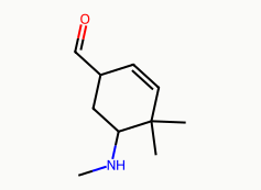 CNC1CC(C=O)C=CC1(C)C